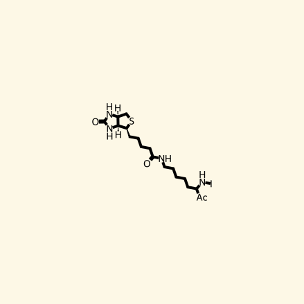 CC(=O)C(CCCCCNC(=O)CCCC[C@@H]1SC[C@@H]2NC(=O)N[C@@H]21)NI